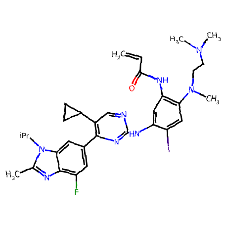 C=CC(=O)Nc1cc(Nc2ncc(C3CC3)c(-c3cc(F)c4nc(C)n(C(C)C)c4c3)n2)c(I)cc1N(C)CCN(C)C